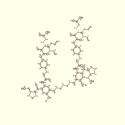 C=CCN(CC=C)[C@@H](CCC(=O)O)C(=O)C(=O)Oc1ccc(COC(=O)Nc2cc(OCCCCCOc3cc(NC(=O)OCc4ccc(OC(=O)C(=O)[C@H](CCC(=O)O)N(CC=C)CC=C)cc4)c(C(=O)N4CCC[C@H]4CO)cc3OC)c(OC)cc2C(=O)N2CCCC2CO)cc1